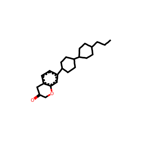 CCCC1CCC(C2CCC(c3ccc4c(c3)OCC(=O)C4)CC2)CC1